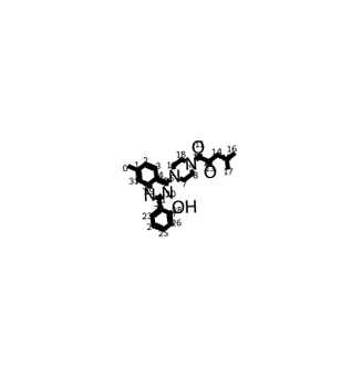 Cc1ccc2c(N3CCN(C(=O)C(=O)CC(C)C)CC3)nc(-c3ccccc3O)nc2c1